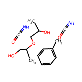 CC(O)COC(C)CO.Cc1ccccc1.N=C=O.N=C=O